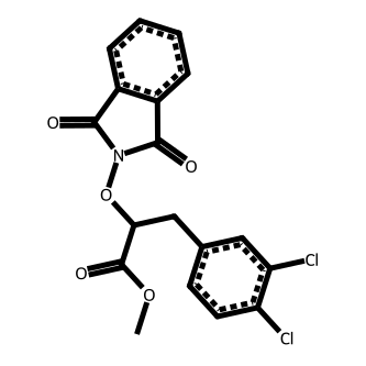 COC(=O)C(Cc1ccc(Cl)c(Cl)c1)ON1C(=O)c2ccccc2C1=O